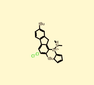 C[SiH](C)[Zr+2]([C]1=CC=CC1)[c]1c(C(C)(C)C)ccc2c1Cc1cc(C(C)(C)C)ccc1-2.[Cl-].[Cl-]